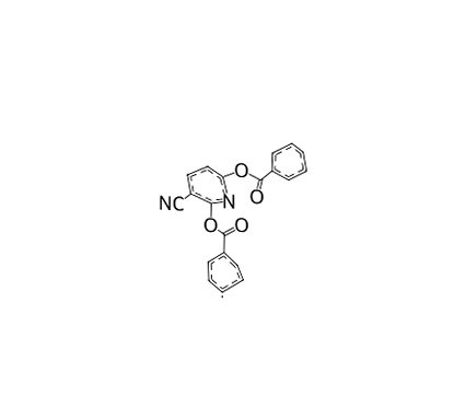 N#Cc1ccc(OC(=O)c2ccccc2)nc1OC(=O)c1cc[c]cc1